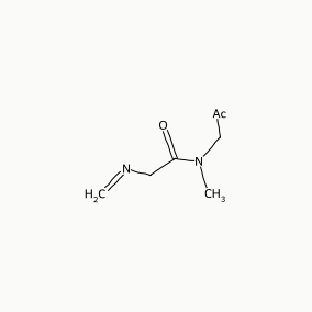 C=NCC(=O)N(C)CC(C)=O